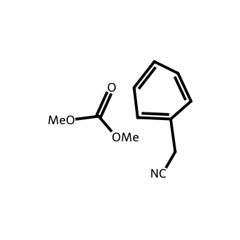 COC(=O)OC.N#CCc1ccccc1